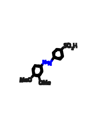 COc1ccc(/N=N/c2ccc(S(=O)(=O)O)cc2)cc1OC